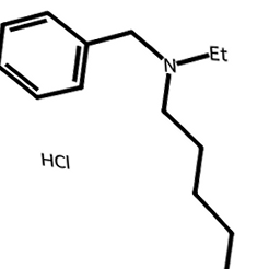 CCCCCCCCCCCCCN(CC)Cc1ccccc1.Cl